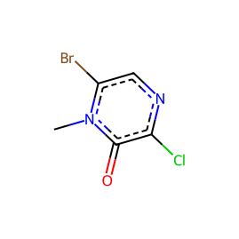 Cn1c(Br)cnc(Cl)c1=O